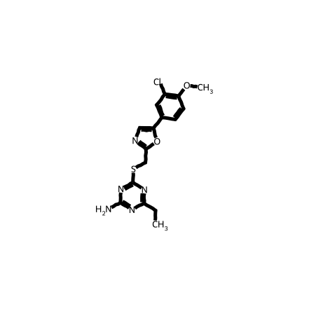 CCc1nc(N)nc(SCc2ncc(-c3ccc(OC)c(Cl)c3)o2)n1